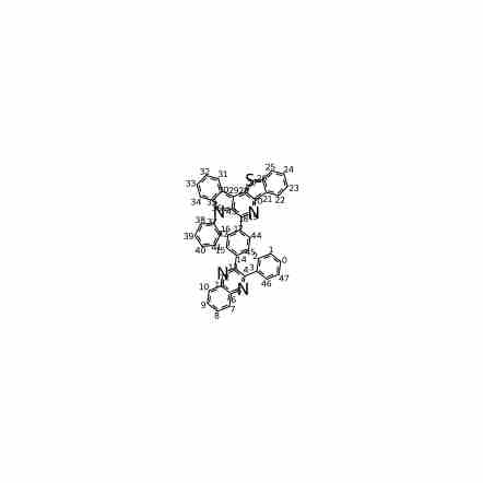 c1ccc(-c2nc3ccccc3nc2-c2ccc(-c3nc4c5ccccc5sc4c4c5ccccc5n(-c5ccccc5)c34)cc2)cc1